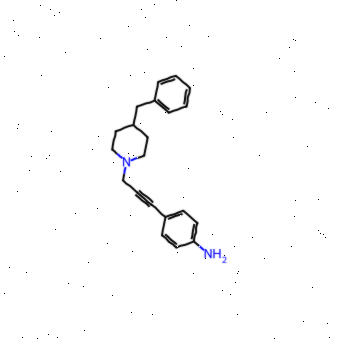 Nc1ccc(C#CCN2CCC(Cc3ccccc3)CC2)cc1